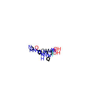 C=C(/N=C1\C(=C/N)N(C)/C(=N/N(O)O)C(F)(F)CN1C1CCCC1)Nc1ccc(C(=O)NC2CCN(C)CC2)cc1OC